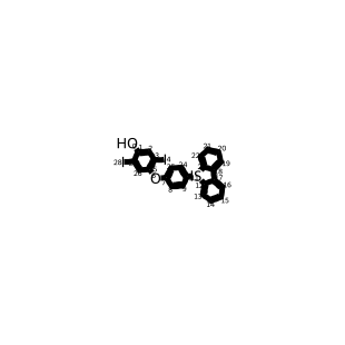 Oc1cc(I)c(Oc2ccc([SH]3c4ccccc4-c4ccccc43)cc2)cc1I